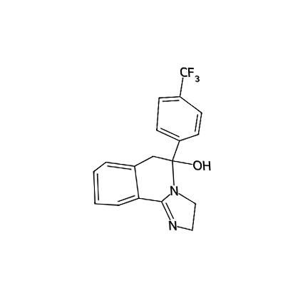 OC1(c2ccc(C(F)(F)F)cc2)Cc2ccccc2C2=NCCN21